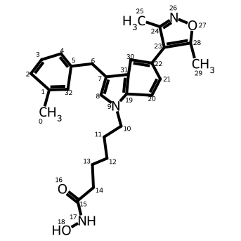 Cc1cccc(Cc2cn(CCCCCC(=O)NO)c3ccc(-c4c(C)noc4C)cc23)c1